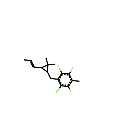 CC=CC1C(Cc2c(F)c(F)c(C)c(F)c2F)C1(C)C